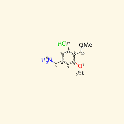 CCOc1cc(CN)ccc1COC.Cl